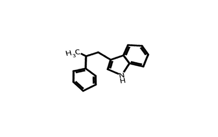 CC(Cc1c[nH]c2ccccc12)c1ccccc1